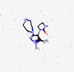 Cc1c(N2CCNC2=O)c(N2CCNCC2)nn1C